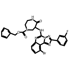 O=C1NCCN(C(=O)OCc2ccccc2)CC1Nc1nc2cccc(Br)c2c2nc(-c3cccc(F)c3)nn12